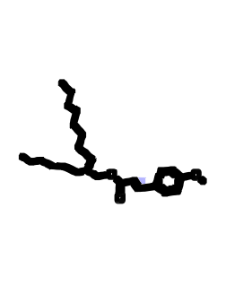 CCCCCCCCC(CCCCCC)COC(=O)/C=C/c1ccc(OC)cc1